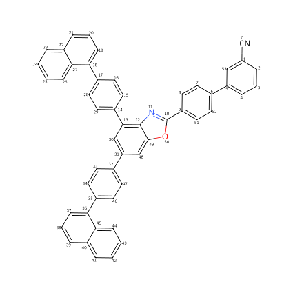 N#Cc1cccc(-c2ccc(-c3nc4c(-c5ccc(-c6cccc7ccccc67)cc5)cc(-c5ccc(-c6cccc7ccccc67)cc5)cc4o3)cc2)c1